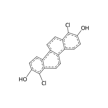 Oc1ccc2c(ccc3c4ccc(O)c(Cl)c4ccc23)c1Cl